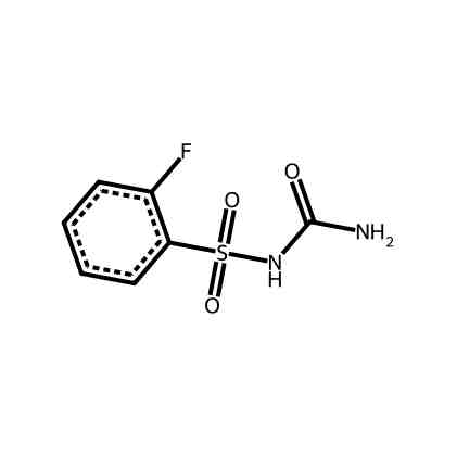 NC(=O)NS(=O)(=O)c1ccccc1F